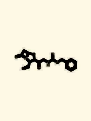 O=CC1C(C(=O)CNC(=O)OCc2ccccc2)OC2CC(=O)N21